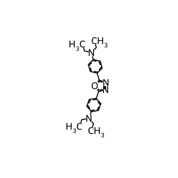 CCN(CC)c1ccc(-c2nnc(-c3ccc(N(CC)CC)cc3)o2)cc1